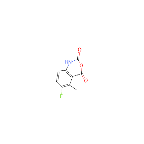 Cc1c(F)ccc2[nH]c(=O)oc(=O)c12